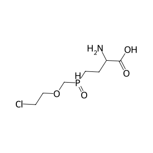 NC(CC[PH](=O)COCCCl)C(=O)O